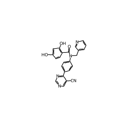 N#Cc1cncnc1-c1ccc(N(Cc2cccnc2)C(=O)c2ccc(O)cc2O)cc1